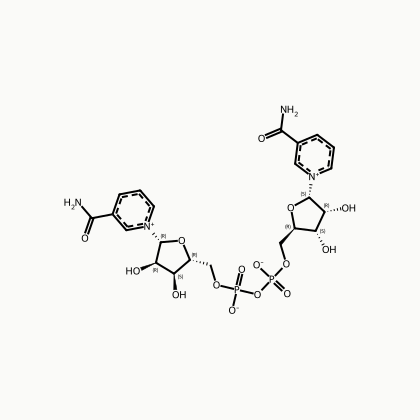 NC(=O)c1ccc[n+]([C@@H]2O[C@H](COP(=O)([O-])OP(=O)([O-])OC[C@H]3O[C@H]([n+]4cccc(C(N)=O)c4)[C@H](O)[C@@H]3O)[C@@H](O)[C@H]2O)c1